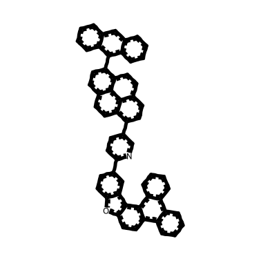 c1ccc2c(-c3ccc4ccc5c(-c6ccc(-c7ccc8oc9ccc%10c%11ccccc%11c%11ccccc%11c%10c9c8c7)nc6)ccc6ccc3c4c65)c3ccccc3cc2c1